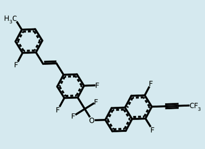 Cc1ccc(/C=C/c2cc(F)c(C(F)(F)Oc3ccc4c(F)c(C#CC(F)(F)F)c(F)cc4c3)c(F)c2)c(F)c1